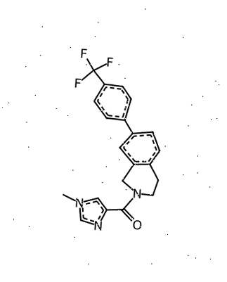 Cn1cnc(C(=O)N2CCc3ccc(-c4ccc(C(F)(F)F)cc4)cc3C2)c1